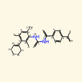 C=C(NC(=C)c1ccc(C(=C)C)cc1)Nc1c(CC)cc(C)c(C2=CCCCC2)c1C